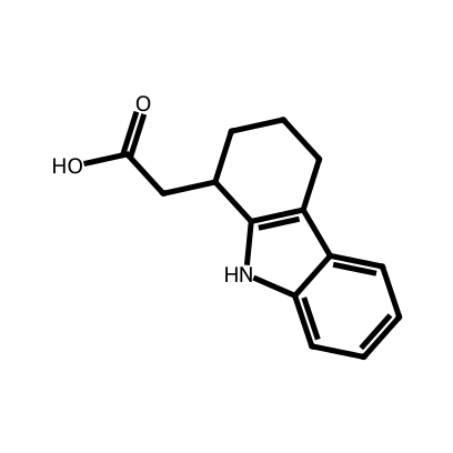 O=C(O)CC1CCCc2c1[nH]c1ccccc21